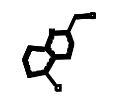 O=Cc1ccc2c(Cl)cccc2n1